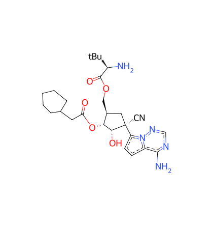 CC(C)(C)[C@@H](N)C(=O)OC[C@H]1C[C@@](C#N)(c2ccc3c(N)ncnn23)[C@H](O)[C@@H]1OC(=O)CC1CCCCC1